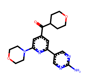 Nc1ncc(-c2cc(C(=O)C3CCOCC3)cc(N3CCOCC3)n2)cn1